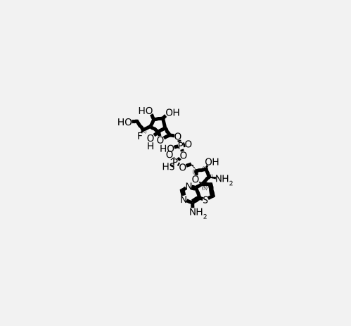 Nc1ncnc2c1SC=C[C@@]21O[C@H](COP(=O)(S)OP(=O)(O)OC2OC3(O)C2C(O)C(O)C3[C@@H](F)CO)[C@@H](O)[C@H]1N